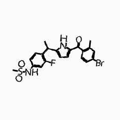 Cc1cc(Br)ccc1C(=O)c1ccc(C(C)c2ccc(NS(C)(=O)=O)cc2F)[nH]1